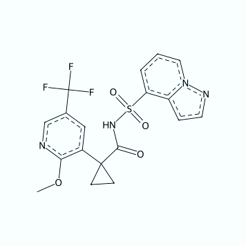 COc1ncc(C(F)(F)F)cc1C1(C(=O)NS(=O)(=O)c2cccn3nccc23)CC1